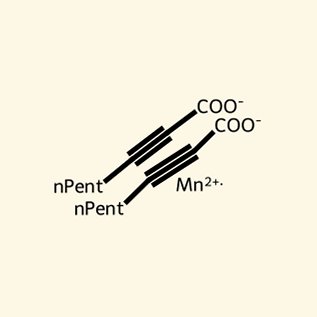 CCCCCC#CC(=O)[O-].CCCCCC#CC(=O)[O-].[Mn+2]